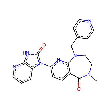 CN1CCN(Cc2ccncc2)c2nc(-n3c(=O)[nH]c4ncccc43)ccc2C1=O